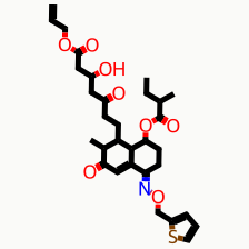 C=CCOC(=O)CC(O)CC(=O)CCC1C(C)C(=O)C=C2C(=NOCc3cccs3)CCC(OC(=O)C(C)CC)C21